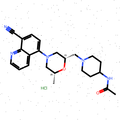 CC(=O)NC1CCN(C[C@H]2CN(c3ccc(C#N)c4ncccc34)C[C@@H](C)O2)CC1.Cl